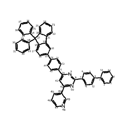 c1ccc(-c2ccc(-c3nc(-c4ccc(-c5ccc6c(c5)-c5ccccc5C6(c5ccccc5)c5ccccc5)cc4)cc(-c4cccnc4)n3)cc2)cc1